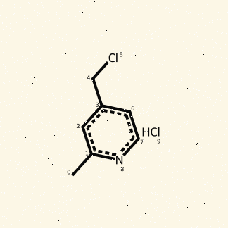 Cc1cc(CCl)ccn1.Cl